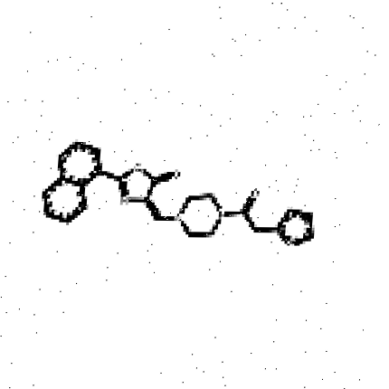 O=C1OC(c2cccc3ccccc23)=N/C1=C/N1CCN(C(=O)Cc2cccs2)CC1